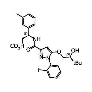 Cc1cccc([C@H](CC(=O)O)NC(=O)c2cc(OC[C@@H](O)C(C)(C)C)n(-c3ccccc3F)n2)c1